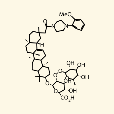 COc1ccccc1N1CCN(C(=O)CC2(C)CC[C@]3(C)CC[C@]4(C)C(=CCC5[C@@]6(C)CC[C@@H](O[C@H]7O[C@H](C(=O)O)[C@@H](O)[C@H](O)[C@H]7OO[C@@H]7O[C@H](C)[C@@H](O)[C@H](O)[C@H]7O)C(C)(C)C6CC[C@]54C)[C@H]3C2)CC1